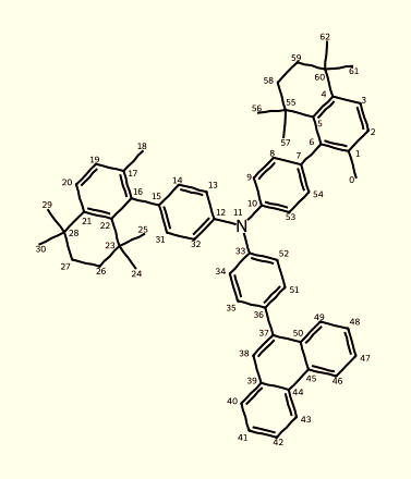 Cc1ccc2c(c1-c1ccc(N(c3ccc(-c4c(C)ccc5c4C(C)(C)CCC5(C)C)cc3)c3ccc(-c4cc5ccccc5c5ccccc45)cc3)cc1)C(C)(C)CCC2(C)C